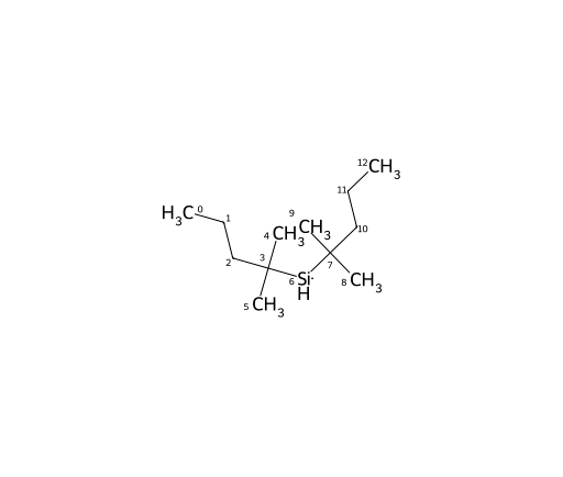 CCCC(C)(C)[SiH]C(C)(C)CCC